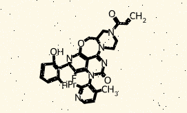 C=CC(=O)N1CCN2c3nc(=O)n(-c4c(C)ccnc4C(C)C)c4c(F)c(-c5c(O)cccc5F)nc(c34)OCC2C1